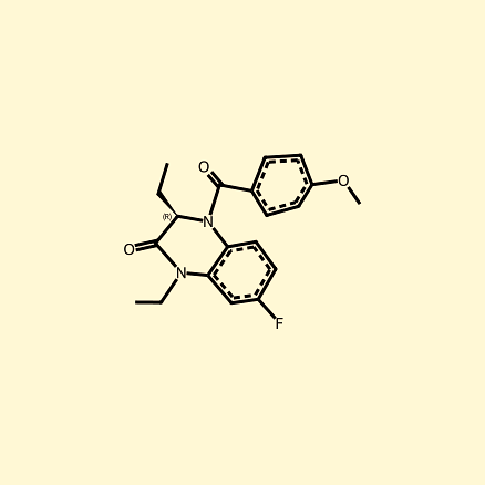 CC[C@@H]1C(=O)N(CC)c2cc(F)ccc2N1C(=O)c1ccc(OC)cc1